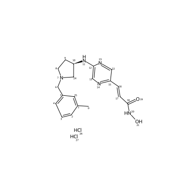 Cc1cccc(CN2CC[C@@H](Nc3cnc(C=CC(=O)NO)cn3)C2)c1.Cl.Cl